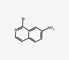 O=[N+]([O-])c1ccc2ccnc(Br)c2c1